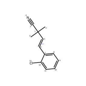 CC(C)(C#N)/C=C/c1ccccc1Cl